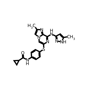 Cc1cn2cc(Sc3ccc(NC(=O)C4CC4)cc3)nc(Nc3cc(C)[nH]n3)c2n1